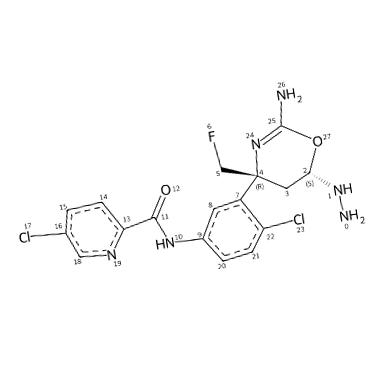 NN[C@@H]1C[C@](CF)(c2cc(NC(=O)c3ccc(Cl)cn3)ccc2Cl)N=C(N)O1